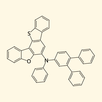 c1ccc(-c2ccc(N(c3ccccc3)c3cc4c5ccccc5sc4c4c3oc3ccccc34)cc2-c2ccccc2)cc1